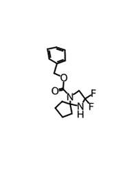 O=C(OCc1ccccc1)N1CC(F)(F)NC12CCCC2